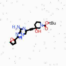 CC(C)(C)OC(=O)N1CCCC(O)(C#Cc2cn3nc(-c4ccco4)nc3c(N)n2)C1